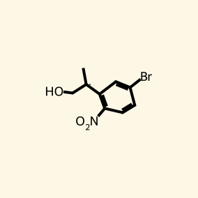 C[C](CO)c1cc(Br)ccc1[N+](=O)[O-]